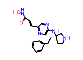 O=C(/C=C/c1cnc(N[C@]2(CCc3ccccc3)CCNC2)cn1)NO